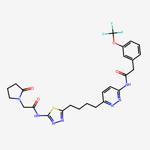 O=C(Cc1cccc(OC(F)(F)F)c1)Nc1ccc(CCCCc2nnc(NC(=O)CN3CCCC3=O)s2)nn1